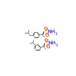 CC(=CS(N)(=O)=O)c1ccc(CC(C)C)cc1.CC(=CS(N)(=O)=O)c1cccc(C(C)C)c1